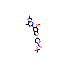 COc1cc2nn(C3CCN(C(=O)OC(C)(C)C)CC3)cc2cc1-c1cc(C)c2nc(C)cn2n1